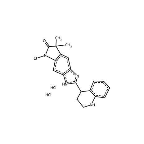 CCN1C(=O)C(C)(C)c2cc3nc(C4CCNc5ccccc54)[nH]c3cc21.Cl.Cl